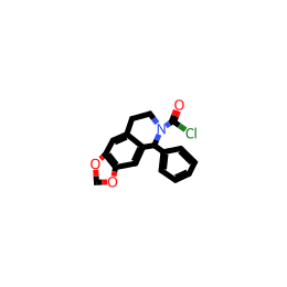 O=C(Cl)N1CCc2cc3c(cc2C1c1ccccc1)OCO3